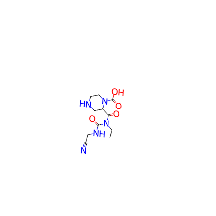 CCN(C(=O)NCC#N)C(=O)C1CNCCN1C(=O)O